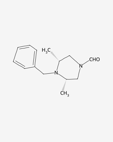 C[C@@H]1CN(C=O)C[C@H](C)N1Cc1ccccc1